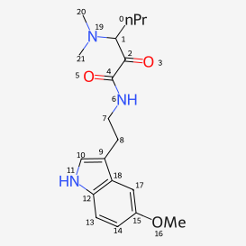 CCCC(C(=O)C(=O)NCCc1c[nH]c2ccc(OC)cc12)N(C)C